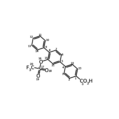 O=C(O)c1ccc(-c2ccc(-c3ccccc3)c(OS(=O)(=O)C(F)(F)F)c2)cc1